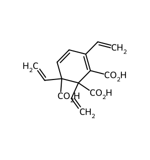 C=CC1=C(C(=O)O)C(C=C)(C(=O)O)C(C=C)(C(=O)O)C=C1